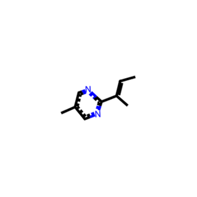 CC=C(C)c1ncc(C)cn1